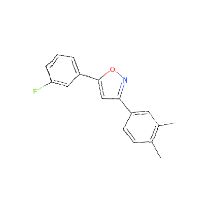 Cc1ccc(-c2cc(-c3cccc(F)c3)on2)cc1C